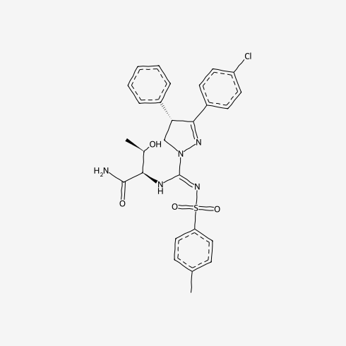 Cc1ccc(S(=O)(=O)/N=C(\N[C@@H](C(N)=O)[C@@H](C)O)N2C[C@H](c3ccccc3)C(c3ccc(Cl)cc3)=N2)cc1